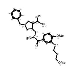 COCCCOc1cc(C(=O)N(CC2CN(Cc3ccccc3)CC2C(N)C(C)C)C(C)C)ccc1OC